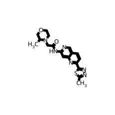 Cc1nnc(-c2ccc3cnc(NC(=O)CN4CCOCC4C)cc3n2)s1